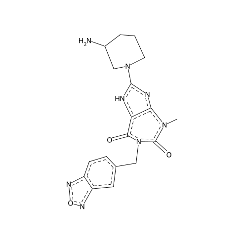 Cn1c(=O)n(Cc2ccc3nonc3c2)c(=O)c2[nH]c(N3CCCC(N)C3)nc21